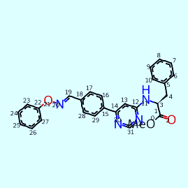 COC(=O)[C@H](Cc1ccccc1)Nc1cc(-c2ccc(/C=N/Oc3ccccc3)cc2)ncn1